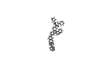 c1ccc(-c2cc(-c3ccccc3)nc(-c3cccc(-c4c(-c5cccc(-c6ccc7cc8nc(-c9cccnn9)oc8cc7c6)c5)ccc5ccccc45)c3)n2)cc1